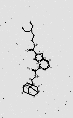 CCN(CC)CCNC(=O)c1cn2c(C(=O)NCC34CC5CC(CC(C5)C3)C4)cccc2n1